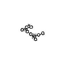 CC1(C)C2=C(CCC=C2)C2c3c(n(-c4ccccc4)c4c3=CC(c3ccc(-c5nc(C6=CC=C(C7=CC=CCC7)CC6)c6ccccc6n5)cc3)CC=4)C=CC21